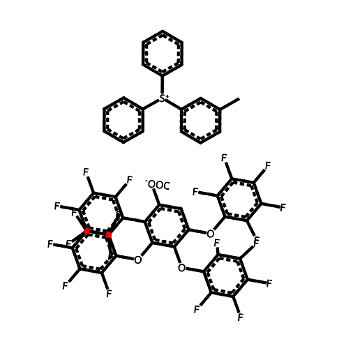 Cc1cccc([S+](c2ccccc2)c2ccccc2)c1.O=C([O-])c1cc(Oc2c(F)c(F)c(F)c(F)c2F)c(Oc2c(F)c(F)c(F)c(F)c2F)c(Oc2c(F)c(F)c(F)c(F)c2F)c1-c1c(F)c(F)c(F)c(F)c1F